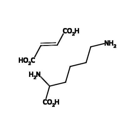 NCCCCC(N)C(=O)O.O=C(O)/C=C/C(=O)O